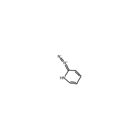 [N-]=[N+]=c1cccc[nH]1